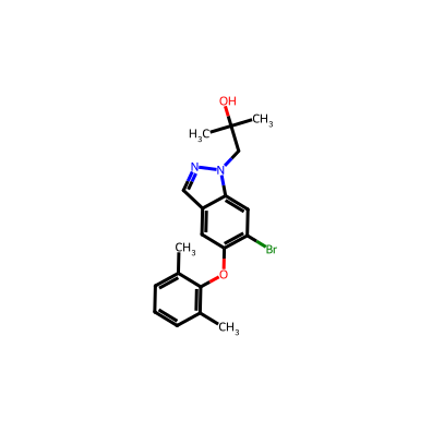 Cc1cccc(C)c1Oc1cc2cnn(CC(C)(C)O)c2cc1Br